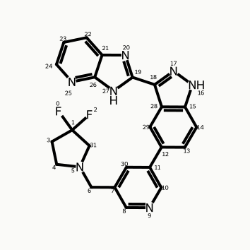 FC1(F)CCN(Cc2cncc(-c3ccc4[nH]nc(-c5nc6cccnc6[nH]5)c4c3)c2)C1